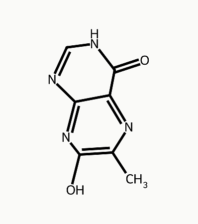 Cc1nc2c(=O)[nH]cnc2nc1O